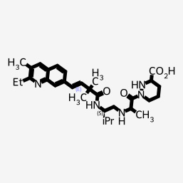 CCc1nc2cc(/C=C/C(C)(C)C(=O)N[C@H](CNC(C)C(=O)N3CCCC(C(=O)O)N3)C(C)C)ccc2cc1C